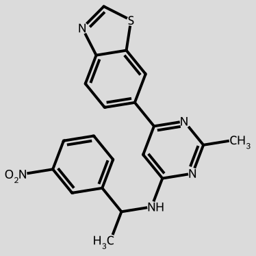 Cc1nc(NC(C)c2cccc([N+](=O)[O-])c2)cc(-c2ccc3ncsc3c2)n1